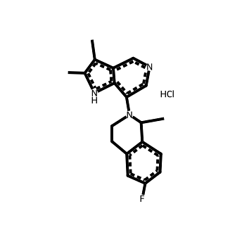 Cc1[nH]c2c(N3CCc4cc(F)ccc4C3C)cncc2c1C.Cl